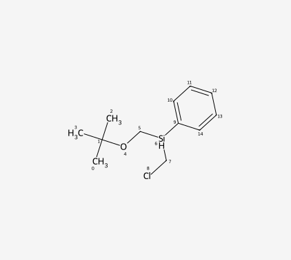 CC(C)(C)OC[SiH](CCl)c1ccccc1